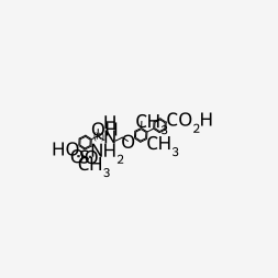 Cc1cc(OCCNC[C@H](O)c2ccc(O)c(S(C)(=O)=O)c2N)cc(C)c1-c1ccc(C(=O)O)cc1